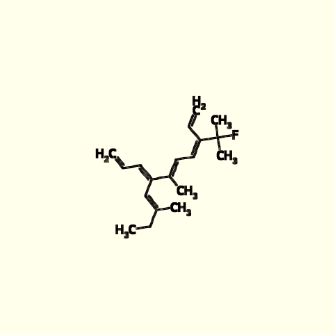 C=C/C=C(\C=C(/C)CC)C(/C)=C/C=C(\C=C)C(C)(C)F